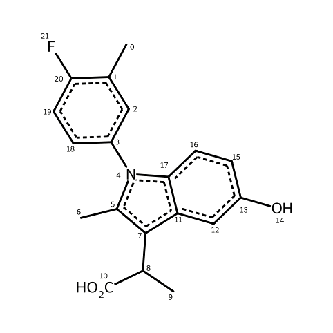 Cc1cc(-n2c(C)c(C(C)C(=O)O)c3cc(O)ccc32)ccc1F